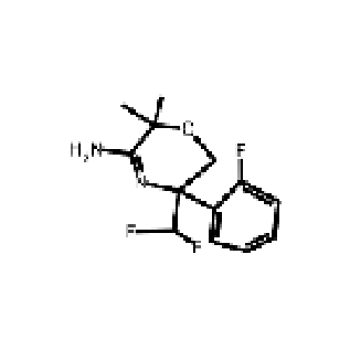 CC1(C)OCC(c2ccccc2F)(C(F)F)N=C1N